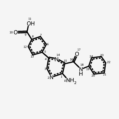 Nc1ncc(-c2ccc(C(=O)O)cc2)nc1C(=O)Nc1ccccc1